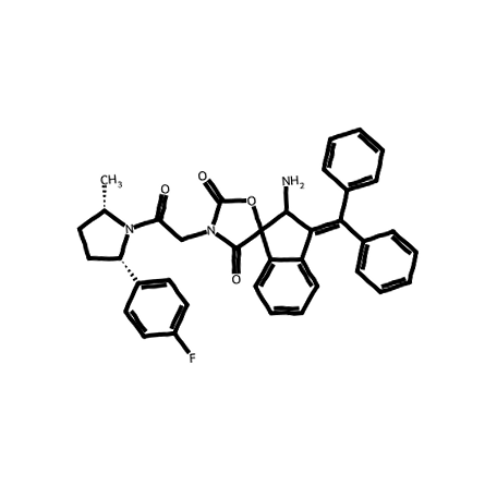 C[C@H]1CC[C@@H](c2ccc(F)cc2)N1C(=O)CN1C(=O)OC2(C1=O)c1ccccc1C(=C(c1ccccc1)c1ccccc1)C2N